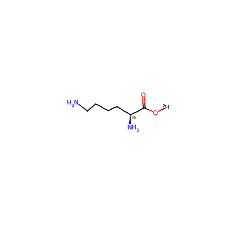 [2H]OC(=O)[C@@H](N)CCCCN